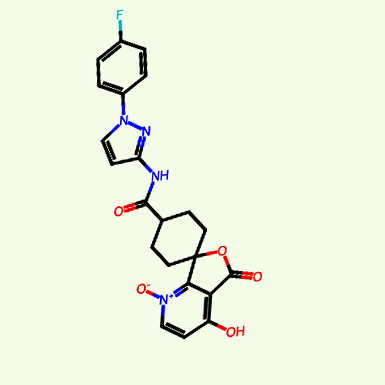 O=C1OC2(CCC(C(=O)Nc3ccn(-c4ccc(F)cc4)n3)CC2)c2c1c(O)cc[n+]2[O-]